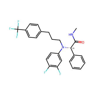 CNC(=O)[C@H](c1ccccc1)N(CCCc1ccc(C(F)(F)F)cc1)c1ccc(F)c(F)c1